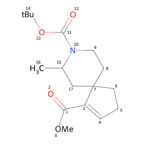 COC(=O)C1=CCCC12CCN(C(=O)OC(C)(C)C)C(C)C2